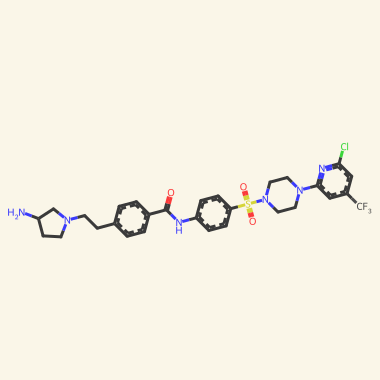 NC1CCN(CCc2ccc(C(=O)Nc3ccc(S(=O)(=O)N4CCN(c5cc(C(F)(F)F)cc(Cl)n5)CC4)cc3)cc2)C1